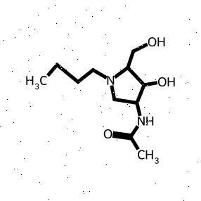 CCCCN1CC(NC(C)=O)C(O)C1CO